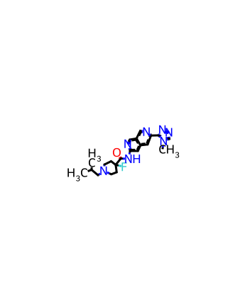 CC(C)CN1CCC(F)(C(=O)Nc2cc3cc(-c4nncn4C)ncc3cn2)CC1